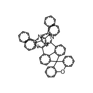 c1ccc(-c2cc(-c3ccccc3)nc(-c3cccc4c3-c3c(-c5nc(-c6ccccc6)nc(-c6ccccc6)n5)cccc3C43c4ccccc4Oc4ccccc43)n2)cc1